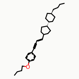 CCCCOc1ccc(C#C/C=C/C2CCC([C@H]3CC[C@H](CCCC)CC3)CC2)cc1